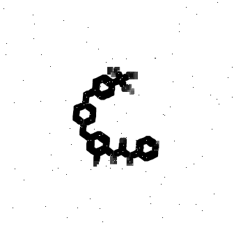 O=C(Nc1ccncc1)Nc1ccc(CN2CCN(Cc3ccc(C(O)(C(F)(F)F)C(F)(F)F)cc3)CC2)cc1F